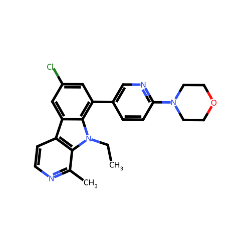 CCn1c2c(-c3ccc(N4CCOCC4)nc3)cc(Cl)cc2c2ccnc(C)c21